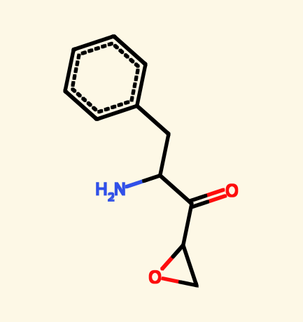 NC(Cc1ccccc1)C(=O)C1CO1